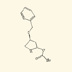 CC(C)(C)C(=O)OC1C[C@H](OCc2ccccc2)CN1